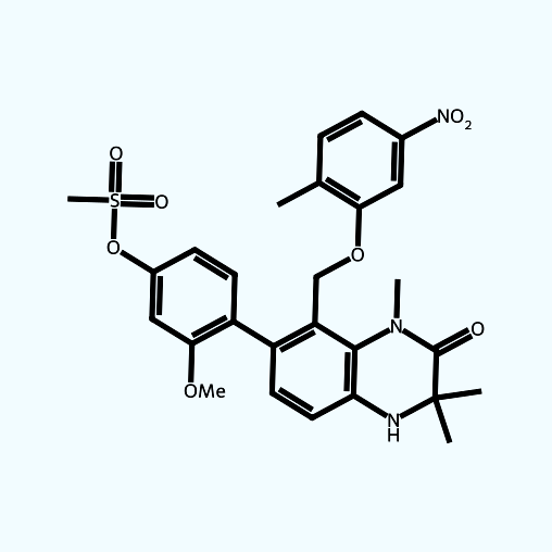 COc1cc(OS(C)(=O)=O)ccc1-c1ccc2c(c1COc1cc([N+](=O)[O-])ccc1C)N(C)C(=O)C(C)(C)N2